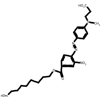 CCCCCCCCCCCCCCCCCCOC(=O)c1ccc(/N=N/c2ccc(N(C)CCC(=O)O)cc2)c([N+](=O)[O-])c1